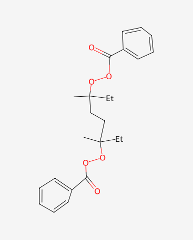 CCC(C)(CCC(C)(CC)OOC(=O)c1ccccc1)OOC(=O)c1ccccc1